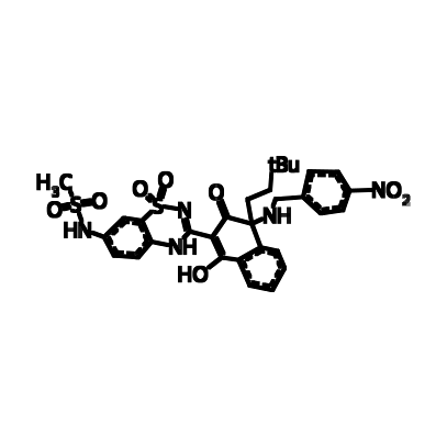 CC(C)(C)CCC1(NCc2ccc([N+](=O)[O-])cc2)C(=O)C(C2=NS(=O)(=O)c3cc(NS(C)(=O)=O)ccc3N2)=C(O)c2ccccc21